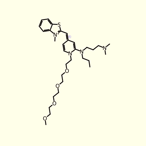 CCCN(CCCN(C)C)C1=C/C(=C/c2sc3ccccc3[n+]2C)C=CN1CCOCCOCCOCCOC